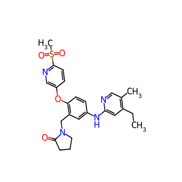 CCc1cc(Nc2ccc(Oc3ccc(S(C)(=O)=O)nc3)c(CN3CCCC3=O)c2)ncc1C